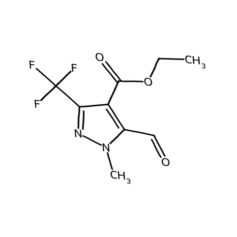 CCOC(=O)c1c(C(F)(F)F)nn(C)c1C=O